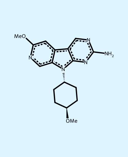 COc1cc2c3cnc(N)nc3n([C@H]3CC[C@H](OC)CC3)c2cn1